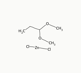 [CH2]CC(OC)OC.[Cl][Zn][Cl]